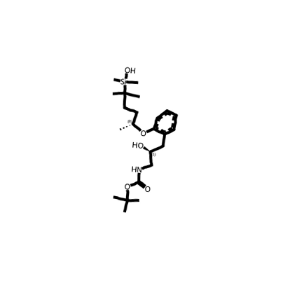 C[C@H](CCC(C)(C)[Si](C)(C)O)Oc1ccccc1C[C@H](O)CNC(=O)OC(C)(C)C